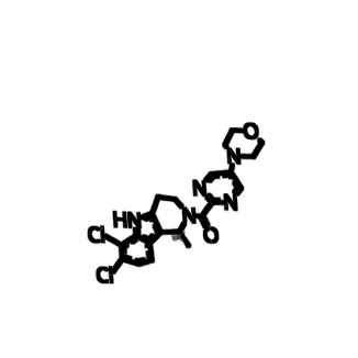 C[C@H]1c2c([nH]c3c(Cl)c(Cl)ccc23)CCN1C(=O)c1ncc(N2CCOCC2)cn1